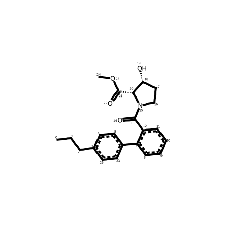 CCCc1ccc(-c2ccccc2C(=O)N2CC[C@@H](O)[C@H]2C(=O)OC)cc1